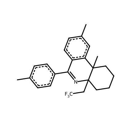 Cc1ccc(C2=NC3(CC(F)(F)F)CCCCC3(C)c3cc(C)ccc32)cc1